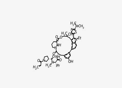 C=CC(=O)N1CC[C@H](C(=O)N(C)[C@H](C(=O)N[C@H]2Cc3cc(O)cc(c3)-c3ccc4c(c3)c(c(-c3cnc(N(C)C)s3)n4CC)CC(C)(C)COC(=O)[C@@H]3CCCN(N3)C2=O)C(C)C)C1